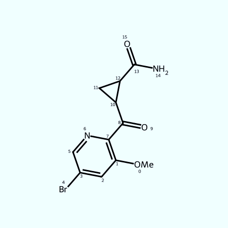 COc1cc(Br)cnc1C(=O)C1CC1C(N)=O